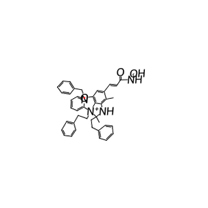 Cc1c(C=CC(=O)NO)cc(OCc2ccccc2)c2c1NC(C)(CCc1ccccc1)[N+]2(CCc1ccccc1)c1ccccn1